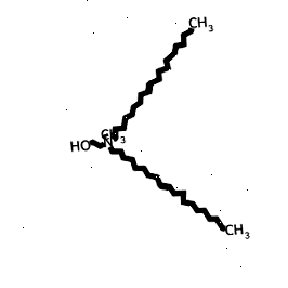 CCCCCCCCCCC=CCCCCCCCC[N+](C)(CCO)CCCCCCCCC=CCCCCCCCCCC